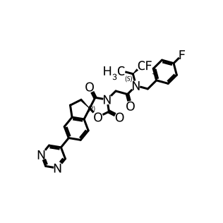 C[C@H](N(Cc1ccc(F)cc1)C(=O)CN1C(=O)O[C@@]2(CCc3cc(-c4cncnc4)ccc32)C1=O)C(F)(F)F